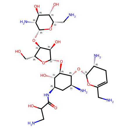 NCC1=CC[C@@H](N)[C@@H](O[C@H]2[C@H](O[C@@H]3O[C@H](CO)[C@@H](O[C@H]4O[C@@H](CN)[C@@H](O)[C@H](O)[C@H]4N)[C@H]3O)[C@@H](O)[C@H](NC(=O)C(O)CN)C[C@@H]2N)O1